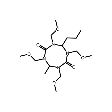 CCCC1N(COC)C(=O)N(COC)C(C)N(COC)C(=O)N1COC